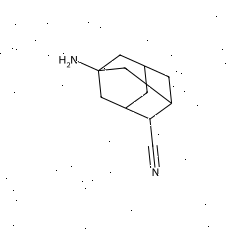 N#CC1C2CC3CC1CC(N)(C3)C2